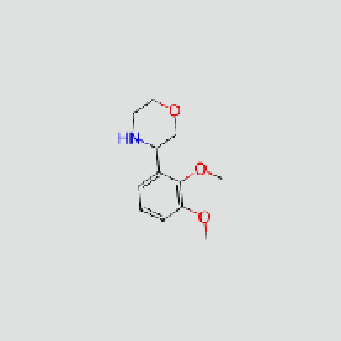 COc1cccc(C2COCCN2)c1OC